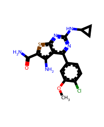 COc1cc(-c2nc(NC3CC3)nc3sc(C(N)=O)c(N)c23)ccc1Cl